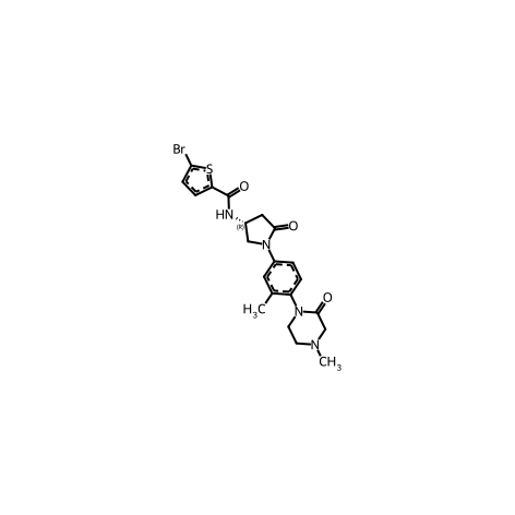 Cc1cc(N2C[C@H](NC(=O)c3ccc(Br)s3)CC2=O)ccc1N1CCN(C)CC1=O